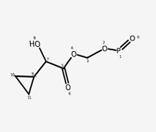 O=POCOC(=O)C(O)[C]1CC1